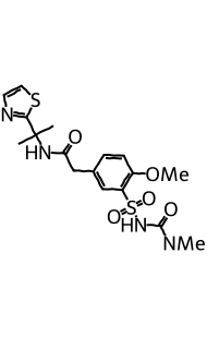 CNC(=O)NS(=O)(=O)c1cc(CC(=O)NC(C)(C)c2nccs2)ccc1OC